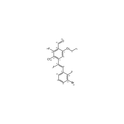 CCOc1cc(/C(F)=C/c2cccc(Br)c2C)c(Cl)c(F)c1C=O